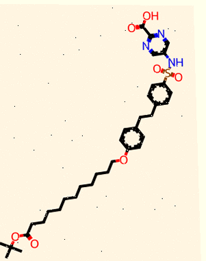 CC(C)(C)OC(=O)CCCCCCCCCCCOc1ccc(CCc2ccc(S(=O)(=O)Nc3cnc(C(=O)O)nc3)cc2)cc1